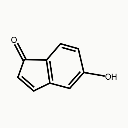 O=C1C=Cc2cc(O)ccc21